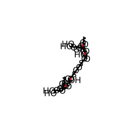 CC(C)CCOC(=O)OCC(C)(COC(=O)OCC(C)(CO)C(=O)OCCCSCCOCCOCCSCCCOC(=O)C(C)(CO)COC(=O)OCC(C)(COC(=O)OCCC(C)C)C1OCC(COC(CO)CO)OO1)C(=O)OCC(O)COC(CO)CO